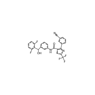 N#Cc1cccc(-n2nc(C(F)(F)F)cc2C(=O)Nc2cccc(C(O)c3c(F)cccc3F)c2)c1